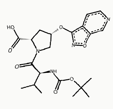 CC(C)[C@H](NC(=O)OC(C)(C)C)C(=O)N1C[C@@H](Oc2noc3cnccc23)C[C@H]1C(=O)O